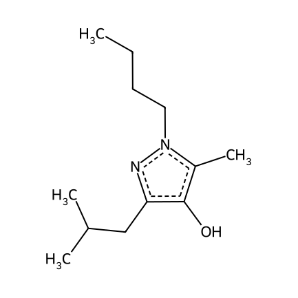 CCCCn1nc(CC(C)C)c(O)c1C